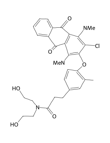 CNc1c(Cl)c(Oc2ccc(CCC(=O)N(CCO)CCO)cc2C)c(NC)c2c1C(=O)c1ccccc1C2=O